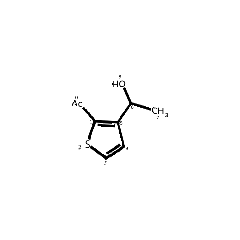 CC(=O)c1sccc1C(C)O